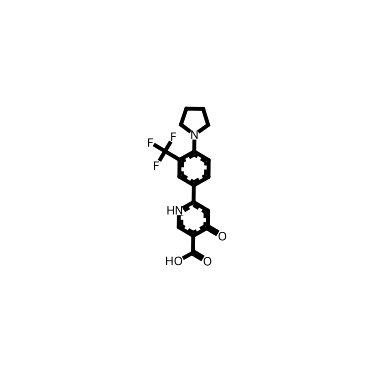 O=C(O)c1c[nH]c(-c2ccc(N3CCCC3)c(C(F)(F)F)c2)cc1=O